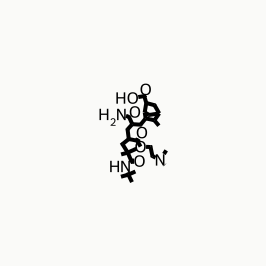 CC1C2CC(C(=O)O)C(C2)C1CC(CC(CC(C)(C)C(=O)NC(C)(C)C)C(=O)OCCN(C)C)C(N)=O